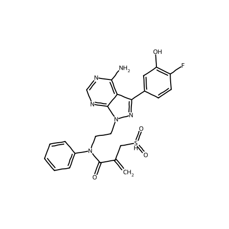 C=C(C[SH](=O)=O)C(=O)N(CCn1nc(-c2ccc(F)c(O)c2)c2c(N)ncnc21)c1ccccc1